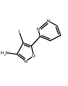 Nc1noc(-c2cccnn2)c1I